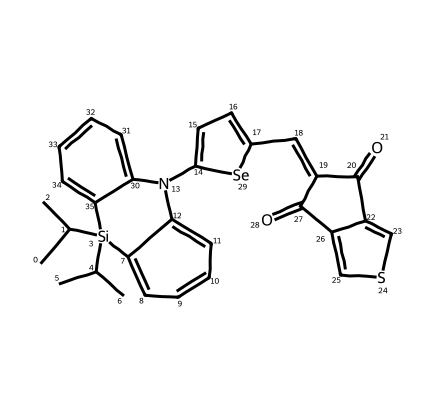 CC(C)[Si]1(C(C)C)c2ccccc2N(c2ccc(C=C3C(=O)c4cscc4C3=O)[se]2)c2ccccc21